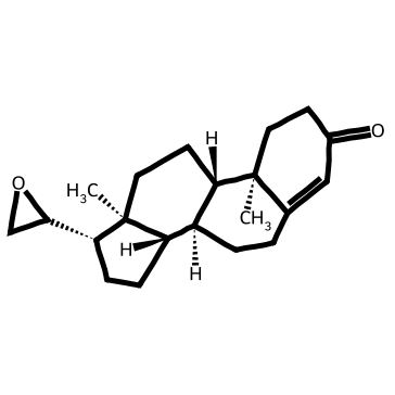 C[C@]12CC[C@H]3[C@@H](CCC4=CC(=O)CC[C@@]43C)[C@@H]1CC[C@@H]2C1CO1